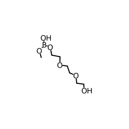 COB(O)OCCOCCOCCO